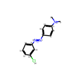 CN(C)c1ccc(/N=N/c2cccc(Cl)c2)cc1